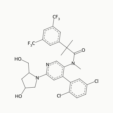 CN(C(=O)C(C)(C)c1cc(C(F)(F)F)cc(C(F)(F)F)c1)c1cnc(N2CC(O)CC2CO)cc1-c1cc(Cl)ccc1Cl